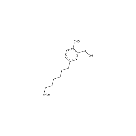 CCCCCCCCCCCCCCCc1ccc(C=O)c(OO)c1